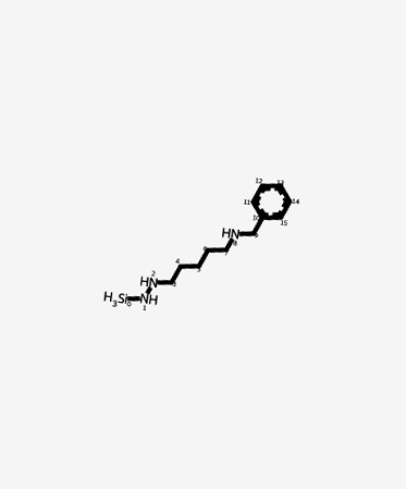 [SiH3]NNCCCCCNCc1ccccc1